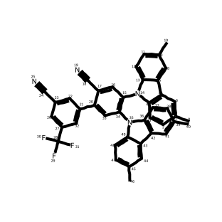 Cc1ccc2c(c1)c1cc(C)ccc1n2-c1cc(C#N)c(-c2cc(C#N)cc(C(F)(F)F)c2)cc1-n1c2ccc(C)cc2c2cc(C)ccc21